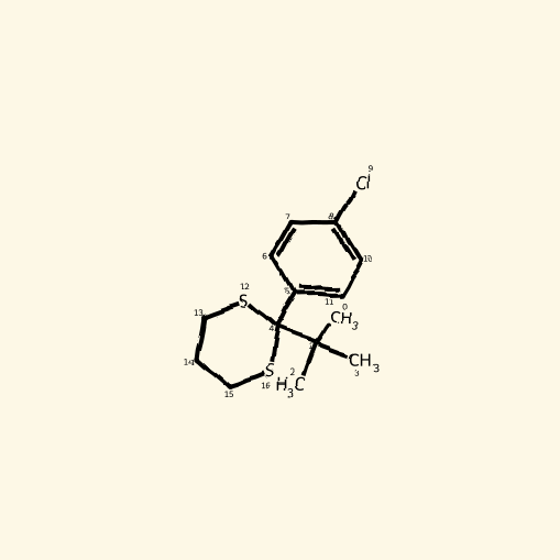 CC(C)(C)C1(c2ccc(Cl)cc2)SCCCS1